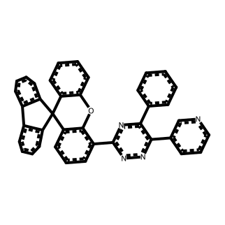 c1ccc(-c2nc(-c3cccc4c3Oc3ccccc3C43c4ccccc4-c4ccccc43)nnc2-c2cccnc2)cc1